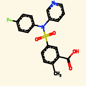 Cc1ccc(S(=O)(=O)N(c2ccc(F)cc2)c2cccnc2)cc1C(=O)O